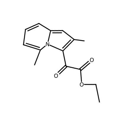 CCOC(=O)C(=O)c1c(C)cc2cccc(C)n12